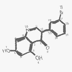 O=C1c2c(O)cc(O)cc2N=CC1c1cccc(Br)c1